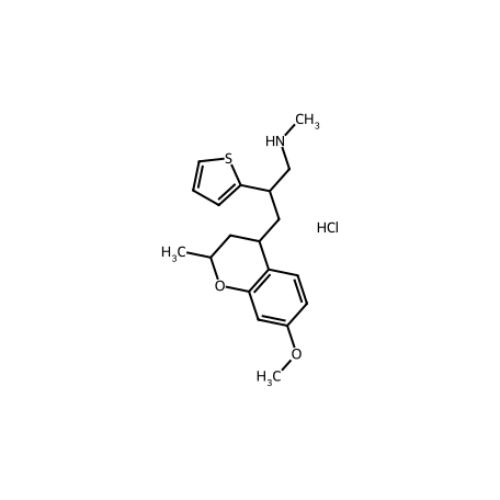 CNCC(CC1CC(C)Oc2cc(OC)ccc21)c1cccs1.Cl